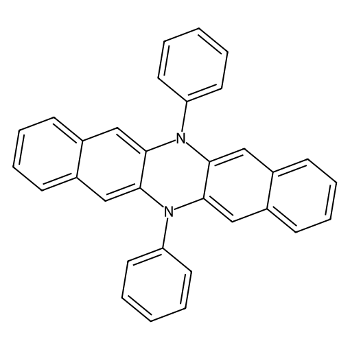 c1ccc(N2c3cc4ccccc4cc3N(c3ccccc3)c3cc4ccccc4cc32)cc1